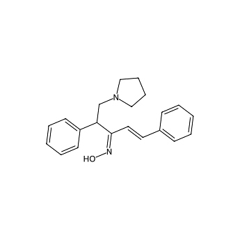 ON=C(C=Cc1ccccc1)C(CN1CCCC1)c1ccccc1